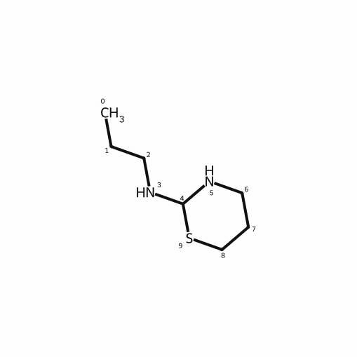 CCCNC1NCCCS1